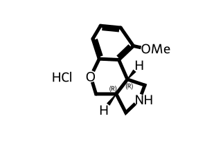 COc1cccc2c1[C@@H]1CNC[C@@H]1CO2.Cl